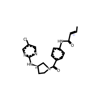 C/C=C/C(=O)Nc1ccc(C(=O)N2CC[C@@H](Nc3ncc(Cl)cn3)C2)cc1